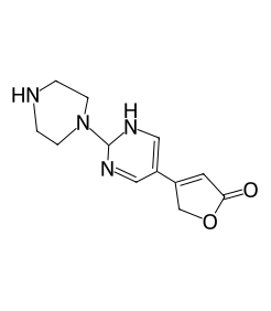 O=C1C=C(C2=CNC(N3CCNCC3)N=C2)CO1